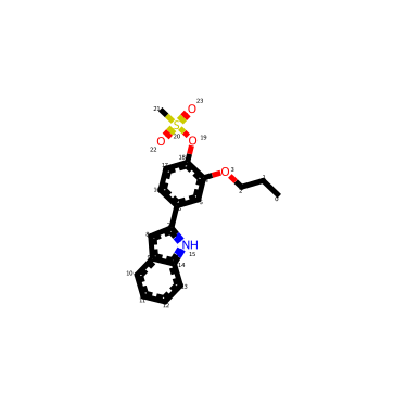 CCCOc1cc(-c2cc3ccccc3[nH]2)ccc1OS(C)(=O)=O